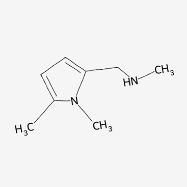 CNCc1ccc(C)n1C